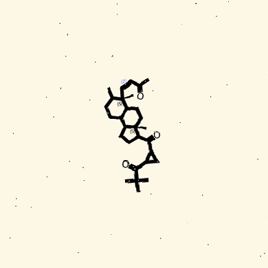 CC(=O)/C=C\[C@@]1(C)C(C)CCC2C1CC[C@]1(C)C(C(=O)C3CC3C(=O)C(C)(C)C)CCC21